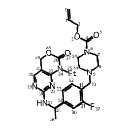 C=CCOC(=O)N1CCN(Cc2ccc(C(C)Nc3ncc4c(n3)N(CC)C(=O)OC4)cc2F)CC1